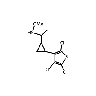 CONC(C)C1CC1c1c(Cl)sc(Cl)c1Cl